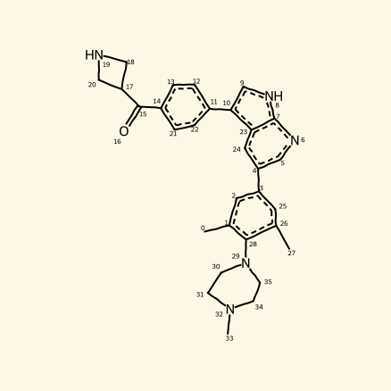 Cc1cc(-c2cnc3[nH]cc(-c4ccc(C(=O)C5CNC5)cc4)c3c2)cc(C)c1N1CCN(C)CC1